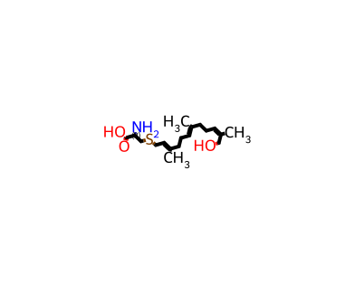 CC(=CCCC(C)=CCCC(C)=CCSC[C@H](N)C(=O)O)CO